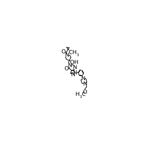 COCCN1CCN(c2cccc(-n3ncc4c(=O)n(CC5(O)CCN(C(=O)C6(C)CC6)CC5)cnc43)c2)CC1